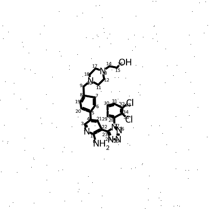 Nc1ncc(-c2ccc(CN3CCN(CCO)CC3)cc2)cc1-c1nnnn1-c1cccc(Cl)c1Cl